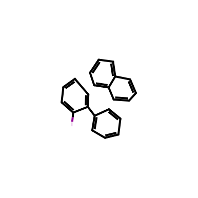 Ic1ccccc1-c1ccccc1.c1ccc2ccccc2c1